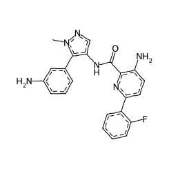 Cn1ncc(NC(=O)c2nc(-c3ccccc3F)ccc2N)c1-c1cccc(N)c1